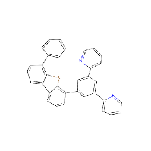 c1ccc(-c2cccc3c2sc2c(-c4cc(-c5ccccn5)cc(-c5ccccn5)c4)cccc23)cc1